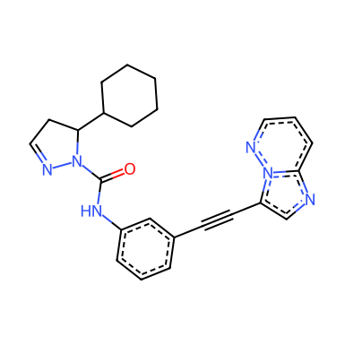 O=C(Nc1cccc(C#Cc2cnc3cccnn23)c1)N1N=CCC1C1CCCCC1